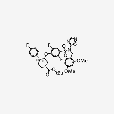 COc1ccc(CN(c2ncns2)S(=O)(=O)c2cc(F)c(O[C@H]3CN(C(=O)OC(C)(C)C)CC[C@@H]3c3ccc(F)cc3)cc2F)c(OC)c1